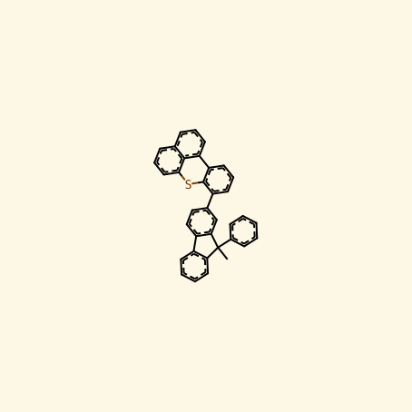 CC1(c2ccccc2)c2ccccc2-c2ccc(-c3cccc4c3Sc3cccc5cccc-4c35)cc21